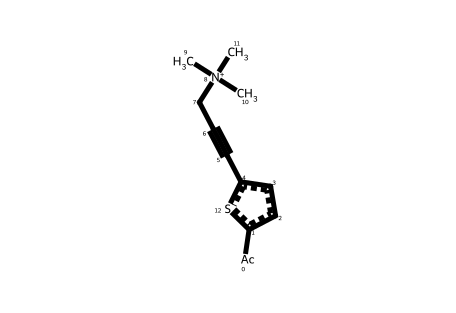 CC(=O)c1ccc(C#CC[N+](C)(C)C)s1